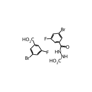 O=C(O)NNC(=O)c1cc(F)cc(Br)c1.O=C(O)c1cc(F)cc(Br)c1